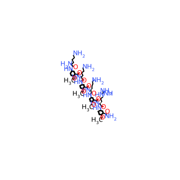 COc1ccc(NC(=O)[C@H](CCCNC(=N)N)NC(=O)c2cc(NC(=O)[C@H](CCCCN)NC(=O)c3cc(NC(=O)C(CCCCN)NC(=O)c4cc(NC(=O)[C@@H](N)CCCCN)ccc4OC)ccc3OC)ccc2OC)cc1C(N)=O